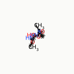 CCCCCN1CC(C(=O)NC[C@H](O)[C@H]2C[C@@H](OCCCC)CN2)C(C2CCCC2)C1=O